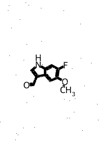 COc1cc2c(C=O)c[nH]c2cc1F